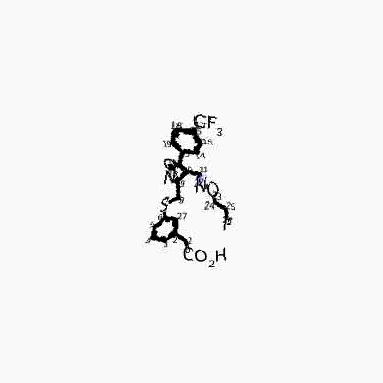 O=C(O)Cc1cccc(SCc2noc(-c3ccc(C(F)(F)F)cc3)c2/C=N/OCCF)c1